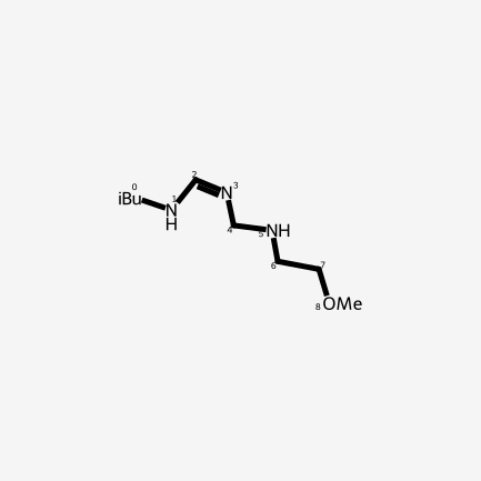 CCC(C)N/C=N\CNCCOC